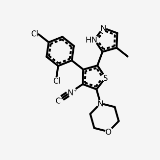 [C-]#[N+]c1c(N2CCOCC2)sc(-c2[nH]ncc2C)c1-c1ccc(Cl)cc1Cl